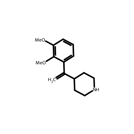 C=C(c1cccc(OC)c1OC)C1CCNCC1